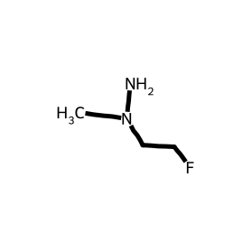 CN(N)CCF